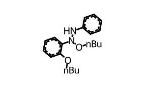 CCCCOc1ccccc1N(Nc1ccccc1)OCCCC